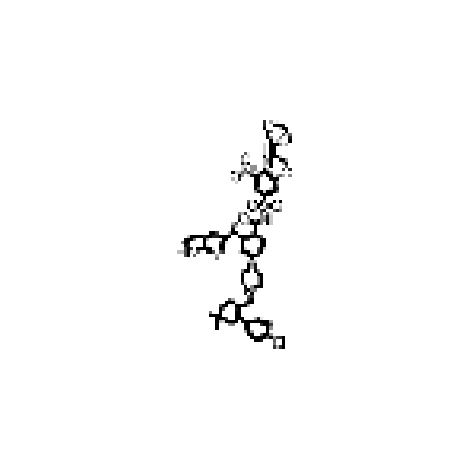 CC(c1cnc2[nH]ccc2c1)c1cc(N2CCN(CC3=C(c4ccc(Cl)cc4)CC(C)(C)CC3)CC2)ccc1C(=O)NS(=O)(=O)c1cc2c(c([N+](=O)[O-])c1)NC(C1COCCO1)CO2